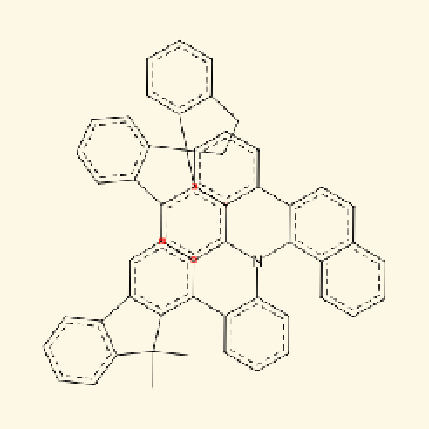 CC1(C)c2ccccc2-c2cccc(-c3ccccc3N(c3ccc4c(c3)C3(CCc5ccccc53)c3ccccc3-4)c3c(-c4ccccc4)ccc4ccccc34)c21